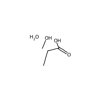 CCC(=O)O.CO.O